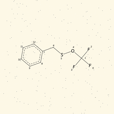 FC(F)(F)OSCc1ccccc1